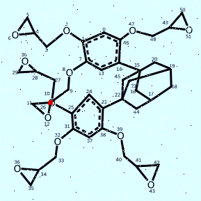 c1c(OCC2CO2)c(OCC2CO2)cc(C23CC4CC(C2)CC(c2cc(OCC5CO5)c(OCC5CO5)cc2OCC2CO2)(C4)C3)c1OCC1CO1